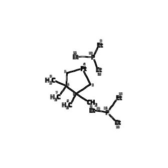 CC1(C)[CH2][Pt][CH2]C1(C)C.CCP(CC)CC.CCP(CC)CC